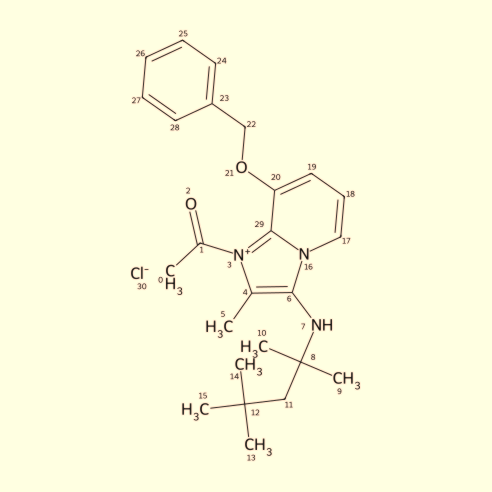 CC(=O)[n+]1c(C)c(NC(C)(C)CC(C)(C)C)n2cccc(OCc3ccccc3)c21.[Cl-]